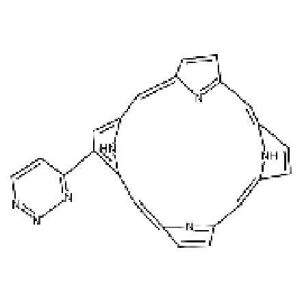 C1=Cc2cc3cc(-c4ccnnn4)c(cc4nc(cc5ccc(cc1n2)[nH]5)C=C4)[nH]3